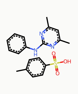 Cc1cc(C)nc(Nc2ccccc2)n1.Cc1ccc(S(=O)(=O)O)cc1